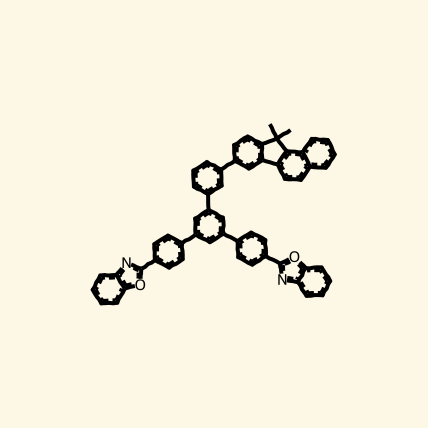 CC1(C)c2ccc(-c3cccc(-c4cc(-c5ccc(-c6nc7ccccc7o6)cc5)cc(-c5ccc(-c6nc7ccccc7o6)cc5)c4)c3)cc2-c2ccc3ccccc3c21